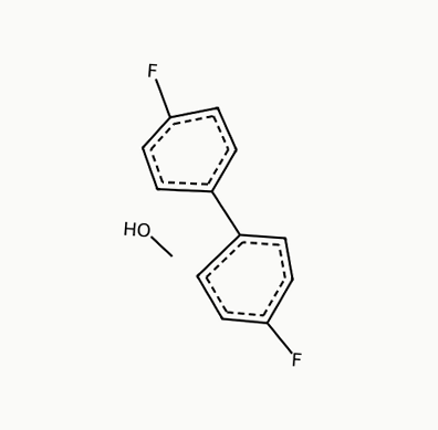 CO.Fc1ccc(-c2ccc(F)cc2)cc1